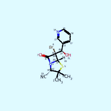 CC1(C)S[C@@H]2N(C(=O)[C@]2(Br)[C@H](O)c2cccnc2)[C@H]1C#N